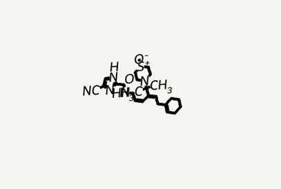 CC(C)(C(/C=C\CNC(=O)c1nc(C#N)c[nH]1)=C/CC1=CCCCC1)N1CC[S+]([O-])CC1